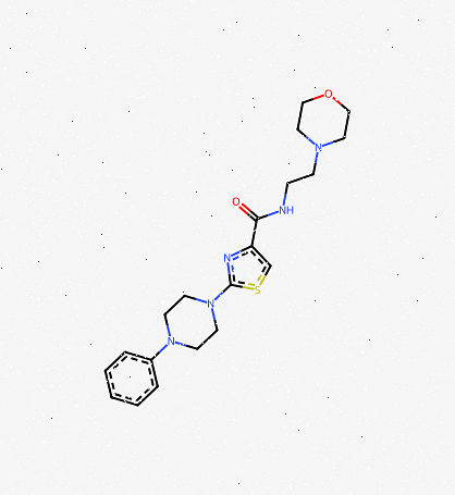 O=C(NCCN1CCOCC1)c1csc(N2CCN(c3ccccc3)CC2)n1